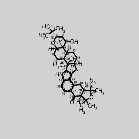 CC(C)(O)[C@@H]1C[C@@H](O)[C@]2(C=O)[C@H](CC[C@@]3(C)[C@H]2CC[C@H]2Cc4c([nH]c5ccc6c(c45)C[C@@H]4[C@@H](C6=O)C(C)(C)OC4(C)C)[C@@]23C)O1